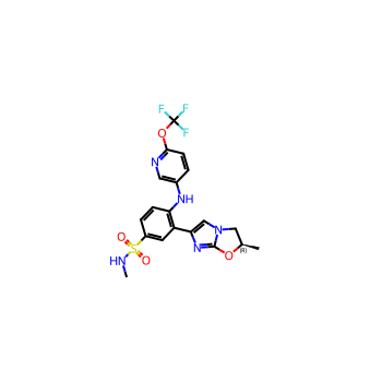 CNS(=O)(=O)c1ccc(Nc2ccc(OC(F)(F)F)nc2)c(-c2cn3c(n2)O[C@H](C)C3)c1